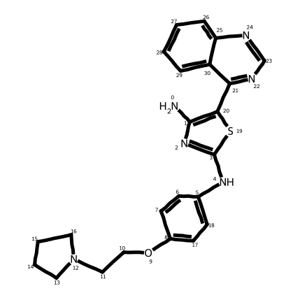 Nc1nc(Nc2ccc(OCCN3CCCC3)cc2)sc1-c1ncnc2ccccc12